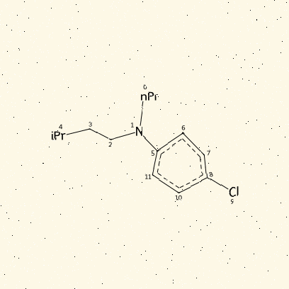 CCCN(CCC(C)C)c1ccc(Cl)cc1